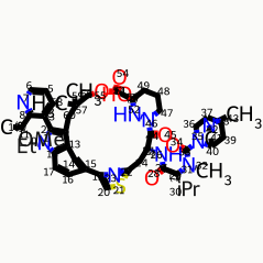 CCn1c(-c2cccnc2[C@H](C)OC)c2c3cc(ccc31)-c1csc(n1)C[C@H](NC(=O)[C@H](C(C)C)N(C)C(=O)N1CC3CCC1CN3C)C(=O)N1CCC[C@@](O)(N1)C(=O)OCC(C)(C)C2